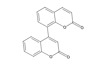 O=c1cc(-c2cccc3ccc(=O)oc23)c2ccccc2o1